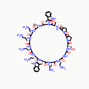 CC[C@H](C)[C@@H]1NC(=O)[C@H](Cc2c[nH]c3ccccc23)NC(=O)[C@H]([C@@H](C)O)NC(=O)[C@@H]2CCCN2C(=O)[C@H]2CCCN2C(=O)[C@H](CO)NC(=O)[C@H](C)NC(=O)[C@H](CCN)NC(=O)[C@H](CCN)NC(=O)[C@H](Cc2c[nH]c3ccccc23)NC(=O)[C@H](CCN)NC(=O)[C@@H](CCN)NC(=O)[C@H](CCCN)NC(=O)[C@H](CCN)NC1=O